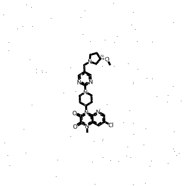 CO[C@H]1CCN(Cc2cnc(N3CCC(n4c(=O)c(=O)n(C)c5cc(Cl)cnc54)CC3)nc2)C1